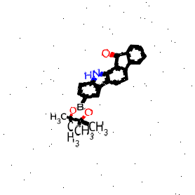 CC1(C)OB(c2ccc3[nH]c4c5c(ccc4c3c2)-c2ccccc2C5=O)OC1(C)C